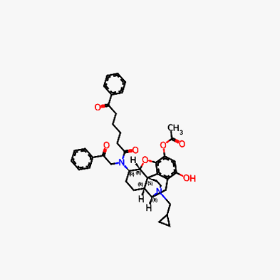 CC(=O)Oc1cc(O)c2c3c1O[C@H]1[C@H](N(CC(=O)c4ccccc4)C(=O)CCCCC(=O)c4ccccc4)CC[C@H]4[C@@H](C2)N(CC2CC2)CC[C@@]341